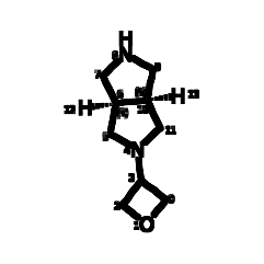 C1OCC1N1C[C@H]2CNC[C@H]2C1